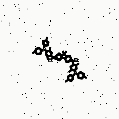 CCC1(c2cc(C)c(N(c3ccc(C)cc3)c3ccc(C)cc3)cc2C)c2cc3c(cc21)C(C)(C)c1cc2c(cc1-3)C2(CC)c1cc(C)c(N(c2ccc(C)cc2)c2ccc(C)cc2)cc1C